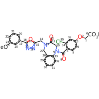 CCOC(=O)COc1ccc(C(=O)N2CC(=O)N(Cc3nnc(-c4cccc(OC)c4)o3)Cc3ccccc32)c(Cl)c1